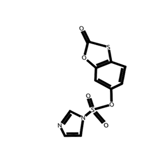 O=c1oc2cc(OS(=O)(=O)n3ccnc3)ccc2s1